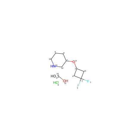 Cl.FC1(F)CC(OC2CCCNC2)C1.O=S(=O)(O)O